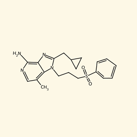 Cc1cnc(N)c2nc(CC3CC3)n(CCCS(=O)(=O)c3ccccc3)c12